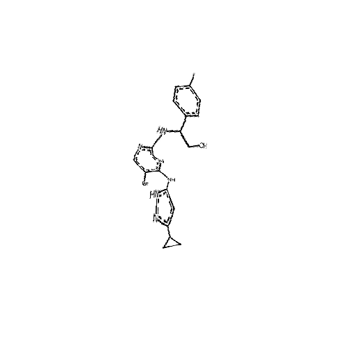 OCC(Nc1ncc(Br)c(Nc2cc(C3CC3)n[nH]2)n1)c1ccc(F)cc1